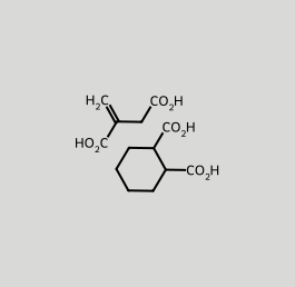 C=C(CC(=O)O)C(=O)O.O=C(O)C1CCCCC1C(=O)O